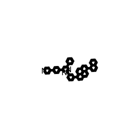 c1ccc(-c2cc(-c3ccc(-c4ccncc4)cc3)nc(-c3cccc(-c4ccc5ccc6c(-c7cccc8ccccc78)ccc7ccc4c5c76)c3)n2)cc1